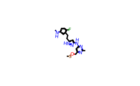 CNc1ccc(F)c(CCc2cc(Nc3cc(COSC)nc(C)n3)n[nH]2)c1